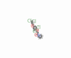 O=C(CCOc1c(Cl)cc(OCC=C(Cl)Cl)cc1Cl)N1CCCCC1